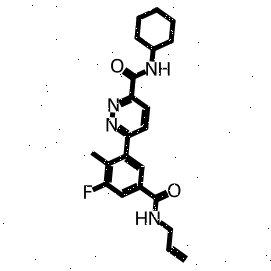 C=CCNC(=O)c1cc(F)c(C)c(-c2ccc(C(=O)NC3CCCCC3)nn2)c1